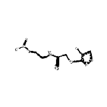 O=C(COc1nocc1Cl)NCCO[N+](=O)[O-]